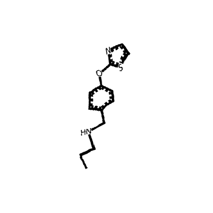 CCCNCc1ccc(Oc2nccs2)cc1